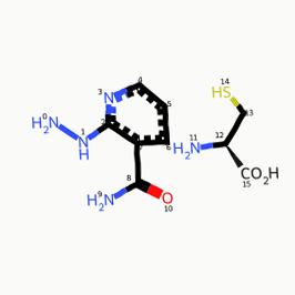 NNc1ncccc1C(N)=O.N[C@@H](CS)C(=O)O